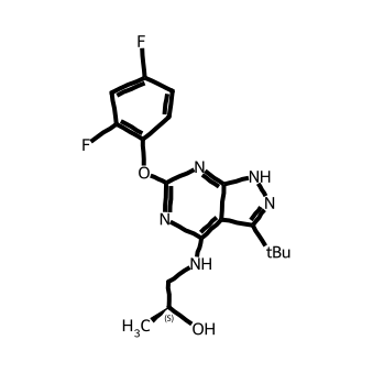 C[C@H](O)CNc1nc(Oc2ccc(F)cc2F)nc2[nH]nc(C(C)(C)C)c12